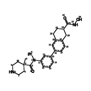 CC(C)N(C(=O)C1(C)CCNCC1)c1cccc(-c2ccc3c(c2)CCC(C(=O)NO)C3)c1